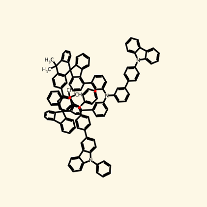 CC1(C)c2ccccc2C2(c3ccccc3-c3ccccc32)c2ccc(-c3cccc(N(c4cccc(-c5ccc(-n6c7ccccc7c7ccccc76)cc5)c4)c4cccc(-c5cccc6c5-c5ccccc5C65c6ccccc6C(C)(C)c6ccc(-c7cccc(N(c8ccccc8)c8ccc(-c9ccc%10c(c9)c9ccccc9n%10-c9ccccc9)cc8)c7)cc65)c4)c3)cc21